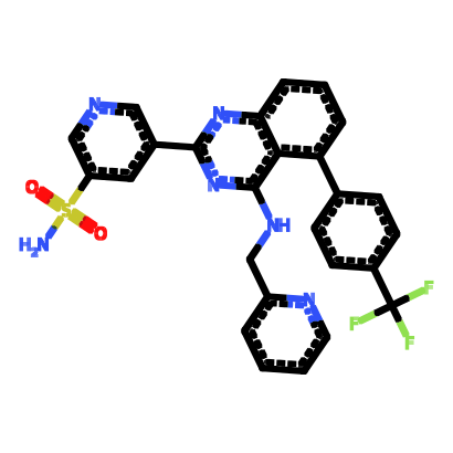 NS(=O)(=O)c1cncc(-c2nc(NCc3ccccn3)c3c(-c4ccc(C(F)(F)F)cc4)cccc3n2)c1